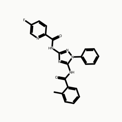 Cc1ccccc1C(=O)Nc1nc(NC(=O)c2ccc(F)cn2)nn1-c1ccccc1